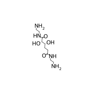 NCCNC(=O)CC[C@@H](O)[C@H](O)C(=O)NCCN